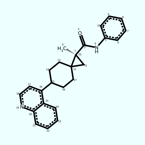 C[C@]1(C(=O)Nc2ccccc2)CC12CCC(c1ccnc3ccccc13)CC2